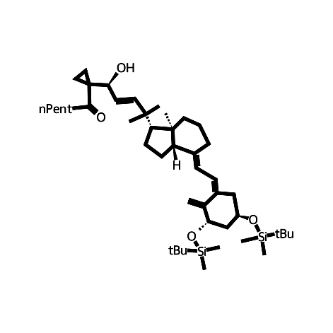 C=C1/C(=C\C=C2/CCC[C@]3(C)[C@@H](C(C)(C)/C=C/[C@H](O)C4(C(=O)CCCCC)CC4)CC[C@@H]23)C[C@@H](O[Si](C)(C)C(C)(C)C)C[C@@H]1O[Si](C)(C)C(C)(C)C